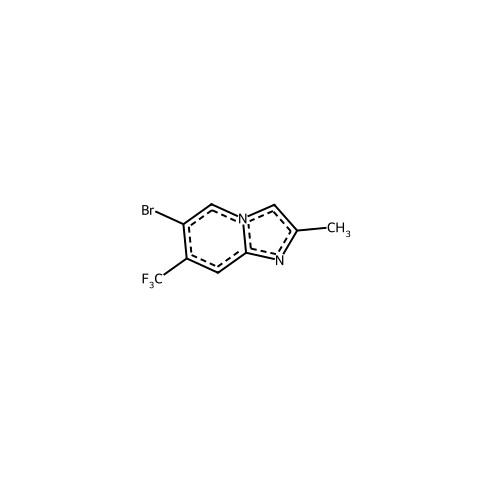 Cc1cn2cc(Br)c(C(F)(F)F)cc2n1